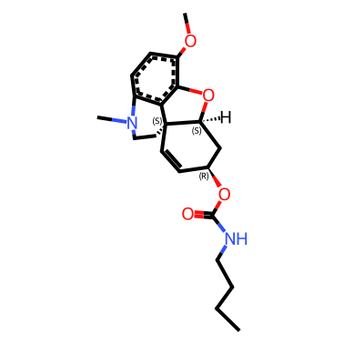 CCCCNC(=O)O[C@H]1C=C[C@@]23CCN(C)c4ccc(OC)c(c42)O[C@H]3C1